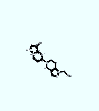 CC(C)(C)Cn1ncc2c1CCN(c1ccn3ncc(Br)c3n1)C2